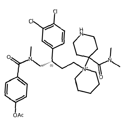 CC(=O)Oc1ccc(C(=O)N(C)C[C@@H](CC[N+]2(C3(C(=O)N(C)C)CCNCC3)CCCCC2)c2ccc(Cl)c(Cl)c2)cc1